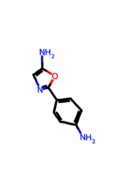 Nc1ccc(-c2ncc(N)o2)cc1